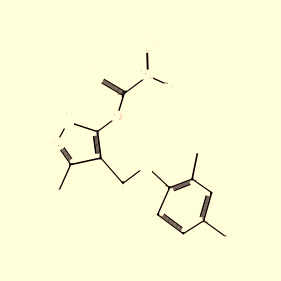 Cc1cc(I)ccc1OCc1c(I)noc1NC(=O)N(C)N